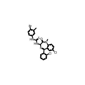 Cc1cc(NC(=S)NC2N=C(c3ccccc3Cl)c3cc(Cl)ccc3N(C)C2=O)ccc1Br